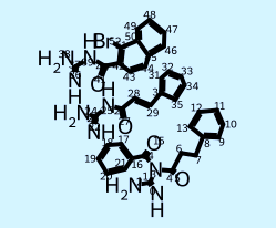 N=C(N)N(C(=O)CCc1ccccc1)C(=O)c1ccccc1.N=C(N)NC(=O)C=Cc1ccccc1.N=C(N)NC(=O)c1ccc2ccccc2c1Br